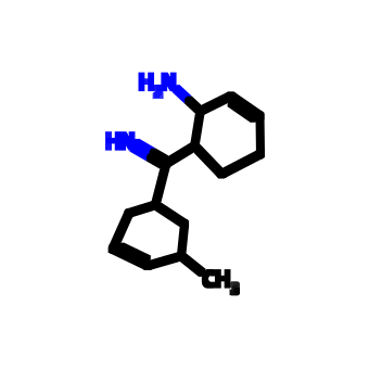 CC1C=CCC(C(=N)C2CCC=CC2N)C1